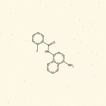 Nc1ccc(NC(=O)c2ccccc2F)c2ccccc12